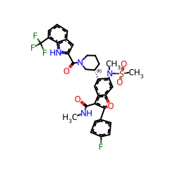 CNC(=O)c1c(-c2ccc(F)cc2)oc2cc(N(C)S(C)(=O)=O)c([C@H]3CCCN(C(=O)c4cc5cccc(C(F)(F)F)c5[nH]4)C3)cc12